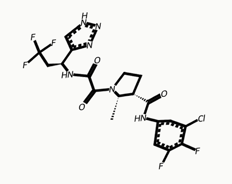 C[C@H]1[C@@H](C(=O)Nc2cc(F)c(F)c(Cl)c2)CCN1C(=O)C(=O)N[C@@H](CC(F)(F)F)c1c[nH]nn1